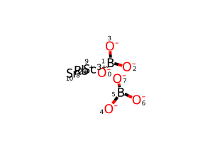 [O-]B([O-])[O-].[O-]B([O-])[O-].[Rb+].[Sc+3].[Sr+2]